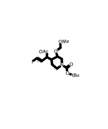 COCOC1CN(C(=O)OC(C)(C)C)CCC1C(/C=C/I)OC(C)=O